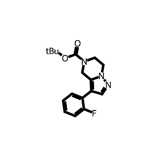 CC(C)(C)OC(=O)N1CCn2ncc(-c3ccccc3F)c2C1